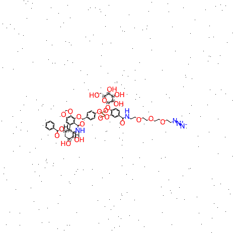 [N-]=[N+]=NCCOCCOCCOCCNC(=O)c1ccc(O[C@@H]2O[C@H](CO)[C@H](O)[C@H](O)[C@H]2O)c(OS(=O)(=O)Oc2ccc(COc3c4c(cc5c3C(=O)N[C@H]3[C@H](O)[C@H](O)C[C@H](OC(=O)c6ccccc6)[C@H]53)OCO4)cc2)c1